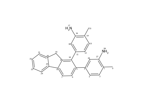 Cc1ccc(-c2ccc3c(c2-c2ccc(C)c(N)c2)Cc2ccccc2-3)cc1N